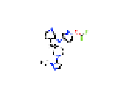 COc1ccncc1N(c1ccc(OC(F)F)nc1)C1CCN(c2ccnn2C)CC1